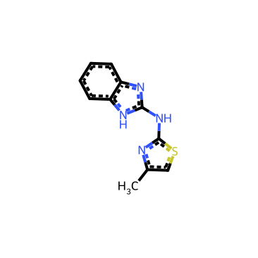 Cc1csc(Nc2nc3ccccc3[nH]2)n1